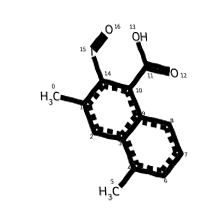 Cc1cc2c(C)cccc2c(C(=O)O)c1I=O